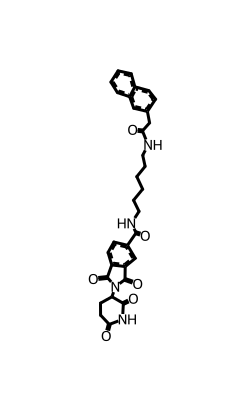 O=C(Cc1ccc2ccccc2c1)NCCCCCCNC(=O)c1ccc2c(c1)C(=O)N(C1CCC(=O)NC1=O)C2=O